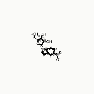 CC[C@H]1O[C@@H](n2ccc3cc([N+](=O)[O-])ccc32)[C@@H](O)C1O